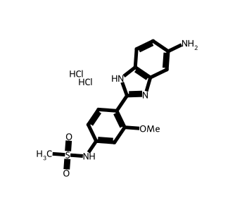 COc1cc(NS(C)(=O)=O)ccc1-c1nc2cc(N)ccc2[nH]1.Cl.Cl